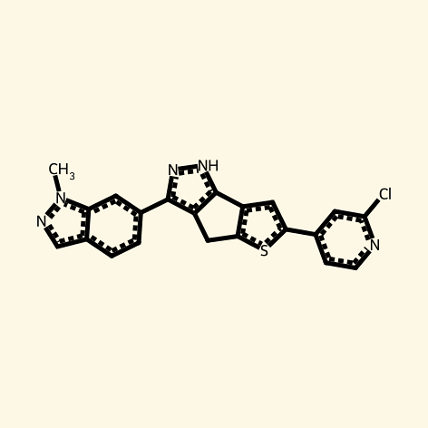 Cn1ncc2ccc(-c3n[nH]c4c3Cc3sc(-c5ccnc(Cl)c5)cc3-4)cc21